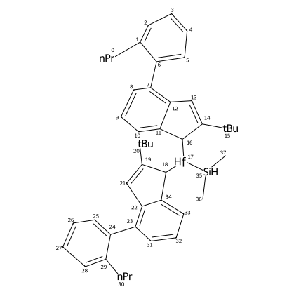 CCCc1ccccc1-c1cccc2c1C=C(C(C)(C)C)[CH]2[Hf]([CH]1C(C(C)(C)C)=Cc2c(-c3ccccc3CCC)cccc21)[SiH](C)C